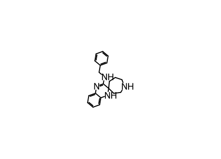 c1ccc(CNC2=Nc3ccccc3NC23CCCNCC3)cc1